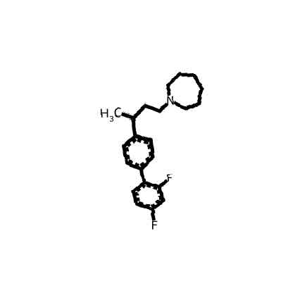 CC(CCN1CCCCCC1)c1ccc(-c2ccc(F)cc2F)cc1